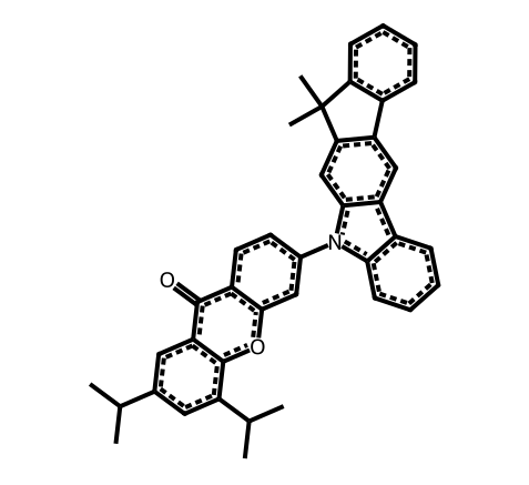 CC(C)c1cc(C(C)C)c2oc3cc(-n4c5ccccc5c5cc6c(cc54)C(C)(C)c4ccccc4-6)ccc3c(=O)c2c1